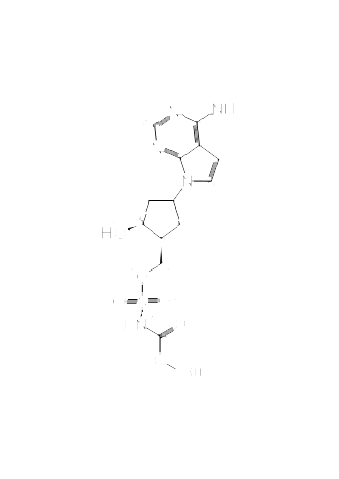 CC(C)(C)OC(=O)NS(=O)(=O)OC[C@@H]1CC(n2ccc3c(N)ncnc32)C[C@@H]1O